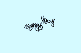 CC(C)(C)OC(=O)N1CCN(C(=O)[C@H]2CC[C@H](NS(=O)(=O)c3ccc(-c4ncco4)cc3)CC2)[C@@H](c2ccccc2)C1